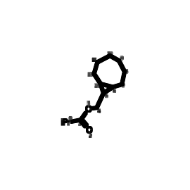 CC(C)C(=O)OCC1C2CCCCCCC21